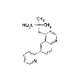 CC(C)(Sc1ccnc2ccc(-c3ccccn3)cc12)C(=O)O